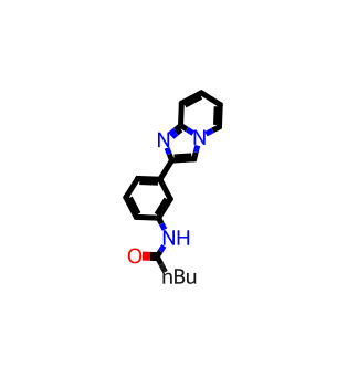 CCCCC(=O)Nc1cccc(-c2cn3ccccc3n2)c1